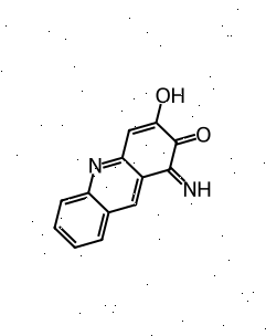 N=C1C(=O)C(O)=Cc2nc3ccccc3cc21